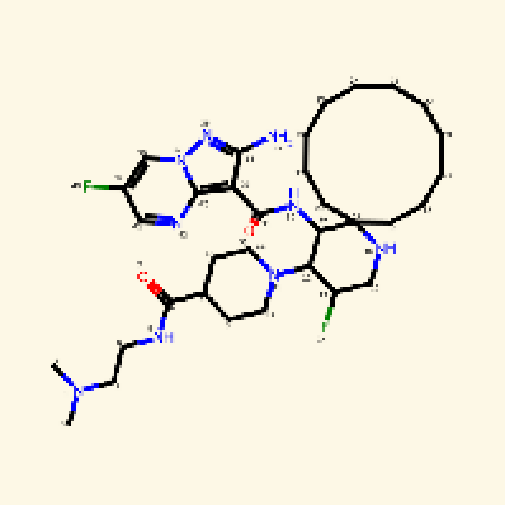 CN(C)CCNC(=O)C1CCN(C2C(F)CNC3(CCCCCCCCCCC3)C2NC(=O)c2c(N)nn3cc(F)cnc23)CC1